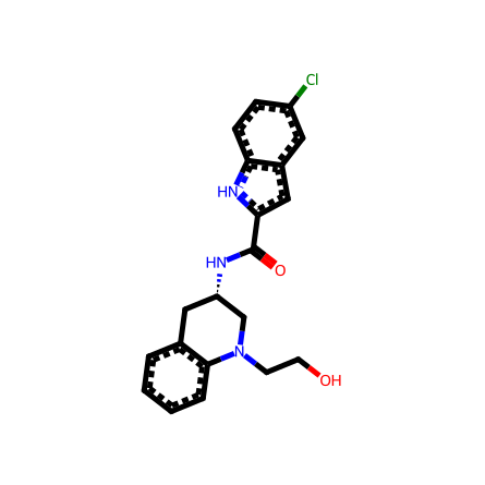 O=C(N[C@H]1Cc2ccccc2N(CCO)C1)c1cc2cc(Cl)ccc2[nH]1